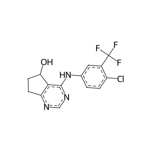 OC1CCc2ncnc(Nc3ccc(Cl)c(C(F)(F)F)c3)c21